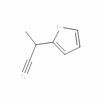 CC(C#N)c1ccc[te]1